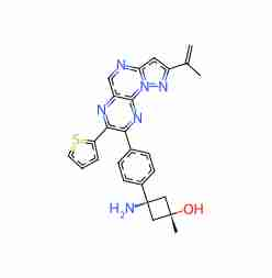 C=C(C)c1cc2ncc3nc(-c4cccs4)c(-c4ccc([C@]5(N)C[C@](C)(O)C5)cc4)nc3n2n1